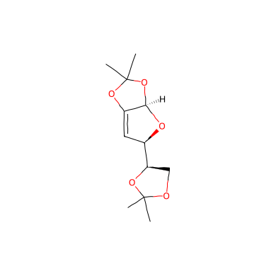 CC1(C)OC2=C[C@H]([C@H]3COC(C)(C)O3)O[C@@H]2O1